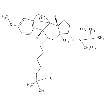 C=CC12CCc3cc(OC)ccc3[C@H]1[C@@H](CCCCCC(C)(C)O)C[C@]1(C)[C@@H](O[Si](C)(C)C(C)(C)C)CC[C@@H]21